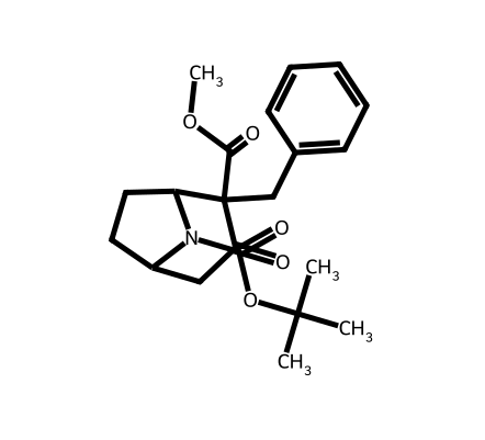 COC(=O)C1(Cc2ccccc2)C(=O)CC2CCC1N2C(=O)OC(C)(C)C